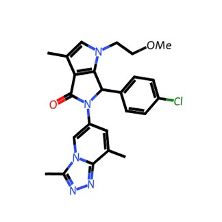 COCCn1cc(C)c2c1C(c1ccc(Cl)cc1)N(c1cc(C)c3nnc(C)n3c1)C2=O